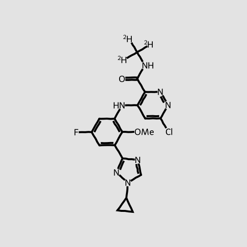 [2H]C([2H])([2H])NC(=O)c1nnc(Cl)cc1Nc1cc(F)cc(-c2ncn(C3CC3)n2)c1OC